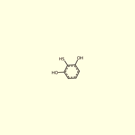 Oc1cccc(O)c1S